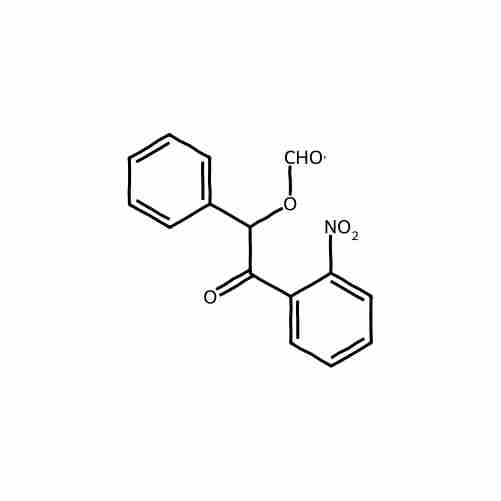 O=[C]OC(C(=O)c1ccccc1[N+](=O)[O-])c1ccccc1